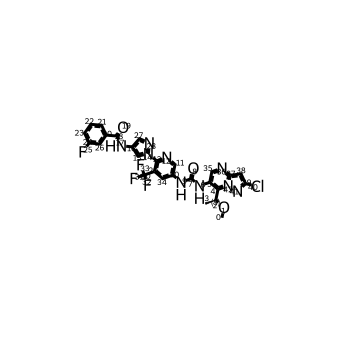 CO[C@@H](C)c1c(NC(=O)Nc2cnc(-n3cc(NC(=O)c4cccc(F)c4)cn3)c(C(F)(F)F)c2)cnc2cc(Cl)nn12